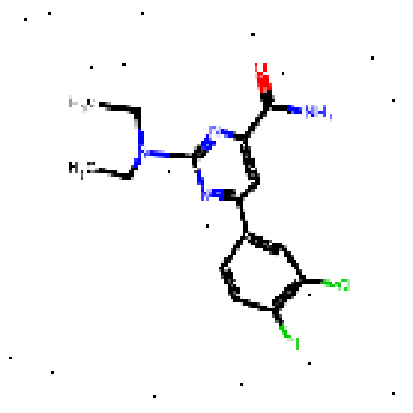 CCN(CC)c1nc(C(N)=O)cc(-c2ccc(Cl)c(Cl)c2)n1